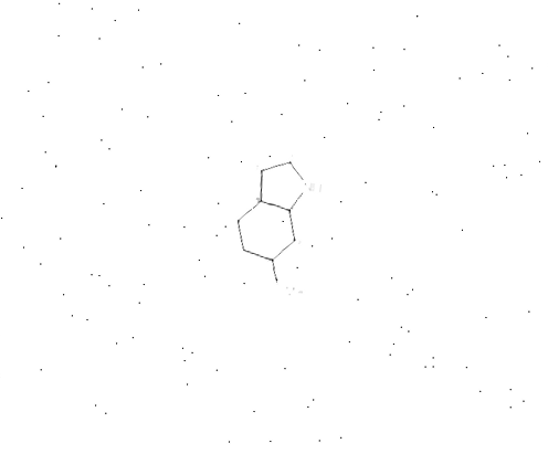 COC1CCC2CCNC2C1